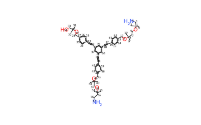 CC(C)(CN)OCCC(C)(C)OCc1ccc(C#Cc2cc(C#Cc3ccc(COC(C)(C)CO)cc3)cc(C#Cc3ccc(COC(C)(C)COC(C)(C)CCN)cc3)c2)cc1